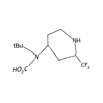 CC(C)(C)N(C(=O)O)C1CCNC(C(F)(F)F)C1